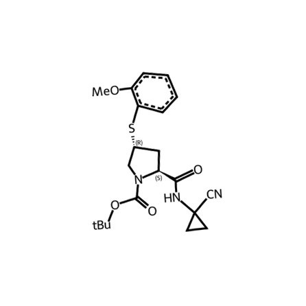 COc1ccccc1S[C@@H]1C[C@@H](C(=O)NC2(C#N)CC2)N(C(=O)OC(C)(C)C)C1